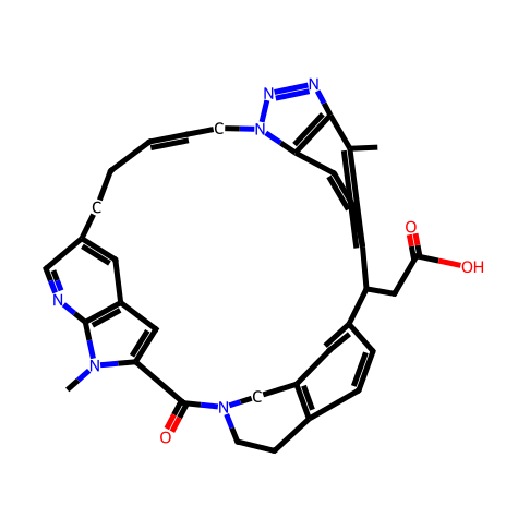 Cc1c2ccc3c1nnn3C/C=C/CCc1cnc3c(c1)cc(n3C)C(=O)N1CCc3ccc(cc3C1)C2CC(=O)O